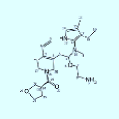 C=CC1=C(CC(OCCN)N(C)c2[nH]cc(C)c2CC)CN(C(=O)[C@H]2CCOC2)CC1